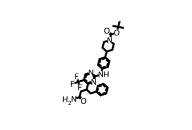 CC(C)(C)OC(=O)N1CCC(c2ccc(Nc3ncc(C(F)(F)F)c(C(CC(N)=O)Cc4ccccc4)n3)cc2)CC1